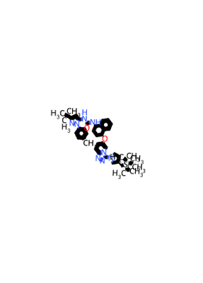 Cc1ccc(-n2nc(C(C)(C)C)cc2NC(=O)N[C@H]2CC[C@@H](Oc3ccc4nnc(N5CC[C@@H](C[Si](C(C)C)(C(C)C)C(C)C)C5)n4c3)c3ccccc32)cc1